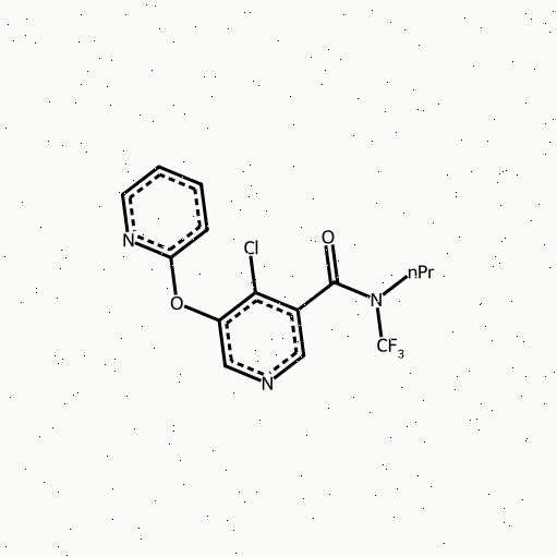 CCCN(C(=O)c1cncc(Oc2ccccn2)c1Cl)C(F)(F)F